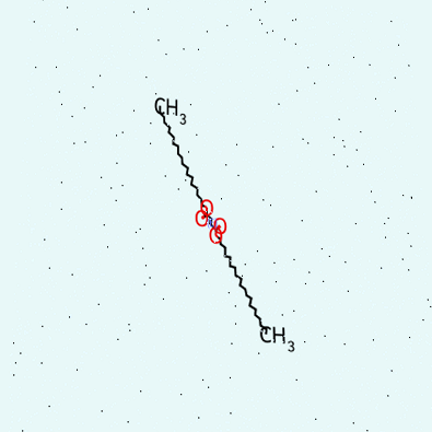 CCCCCCCCCCCCCCCCCCCCOC(=O)/C=C/C(=O)OCCCCCCCCCCCCCCCCCCCC